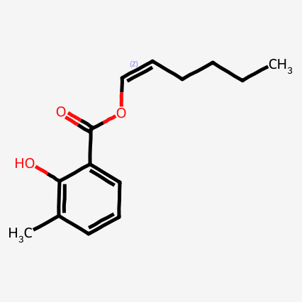 CCCC/C=C\OC(=O)c1cccc(C)c1O